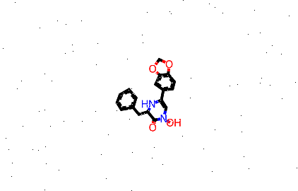 O=C1C(Cc2ccccc2)NC(c2ccc3c(c2)OCO3)=CN1O